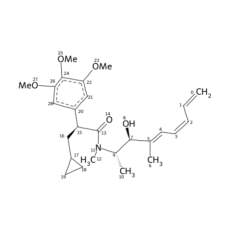 C=C/C=C\C=C(/C)[C@H](O)[C@H](C)N(C)C(=O)[C@@H](CC1CC1)c1cc(OC)c(OC)c(OC)c1